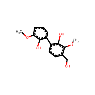 COc1cccc(-c2ccc(CO)c(OC)c2O)c1O